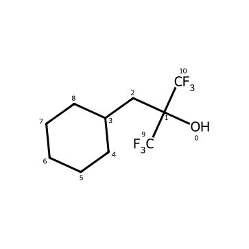 OC(CC1CCCCC1)(C(F)(F)F)C(F)(F)F